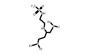 CCN(CC)CCC(CN(CC)CC)NCCNS(=O)(=O)C(F)(F)F